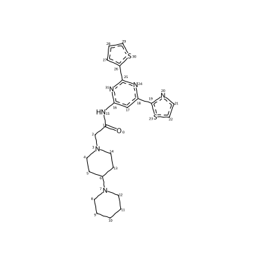 O=C(CN1CCC(N2CCCCC2)CC1)Nc1cc(-c2nccs2)nc(-c2cccs2)n1